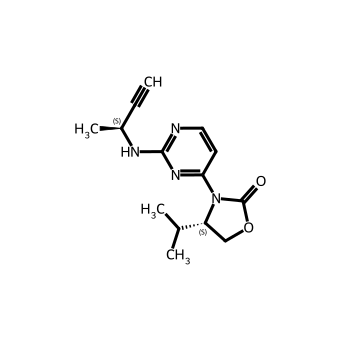 C#C[C@H](C)Nc1nccc(N2C(=O)OC[C@@H]2C(C)C)n1